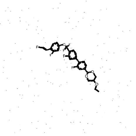 CCOC1COC(c2ccc(-c3ccc(C(F)(F)Oc4ccc(/C=C/F)c(F)c4)c(F)c3)c(F)c2)OC1